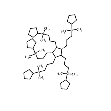 C[Si](C)(CCCC1C(CCC[Si](C)(C)C2CCCC2)[C@H](CCC[Si](C)(C)C2CCCC2)C(CCC[Si](C)(C)C2CCCC2)[C@H]1CCC[Si](C)(C)C1CCCC1)C1CCCC1